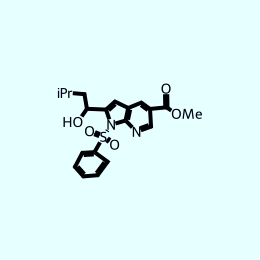 COC(=O)c1cnc2c(c1)cc(C(O)CC(C)C)n2S(=O)(=O)c1ccccc1